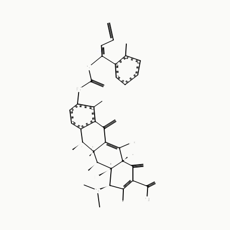 C=C/C=C(/NC(=S)Nc1ccc2c(c1O)C(=O)C1=C(O)[C@]3(O)C(=O)C(C(N)=O)=C(O)[C@@H](N(C)C)[C@@H]3[C@@H](O)[C@@H]1[C@H]2C)c1ccccc1C